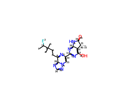 CC(F)C(C)(C)CCc1nc(-c2nc(O)c3c(n2)NC(=O)[C@@H]3C)cn2ncnc12